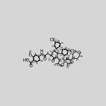 COc1cc(NC(=O)C[C@@]2(C)C[C@H](c3cccc(Cl)c3)[C@@H](c3ccc(Cl)cc3)N([C@H](CS(=O)(=NC(=O)N3CCOCC3)C(C)C)C(C)C)C2=O)ccc1C(=O)O